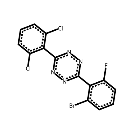 Fc1cccc(Br)c1-c1nnc(-c2c(Cl)cccc2Cl)nn1